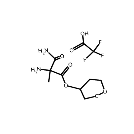 CC(N)(C(N)=O)C(=O)OC1CCOCC1.O=C(O)C(F)(F)F